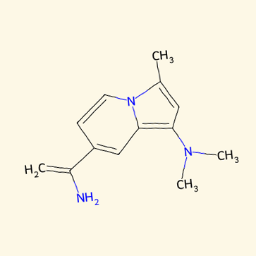 C=C(N)c1ccn2c(C)cc(N(C)C)c2c1